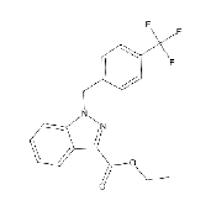 CCOC(=O)c1nn(Cc2ccc(C(F)(F)F)cc2)c2ccccc12